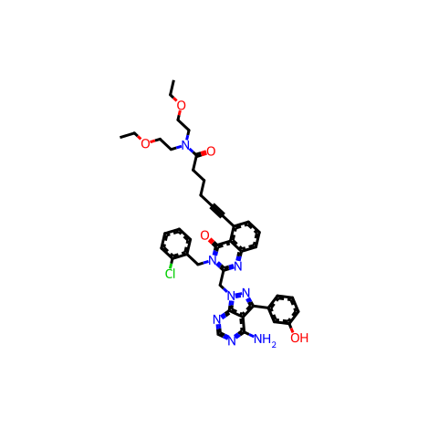 CCOCCN(CCOCC)C(=O)CCCC#Cc1cccc2nc(Cn3nc(-c4cccc(O)c4)c4c(N)ncnc43)n(Cc3ccccc3Cl)c(=O)c12